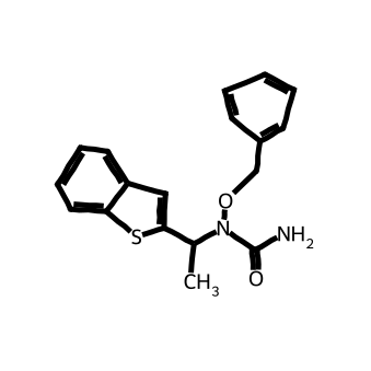 CC(c1cc2ccccc2s1)N(OCc1ccccc1)C(N)=O